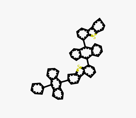 c1ccc(-c2c3ccccc3c(-c3ccc4c(c3)sc3c(-c5c6ccccc6c(-c6cccc7c6sc6ccccc67)c6ccccc56)cccc34)c3ccccc23)cc1